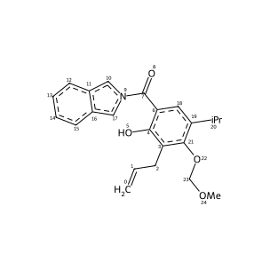 C=CCc1c(O)c(C(=O)n2cc3ccccc3c2)cc(C(C)C)c1OCOC